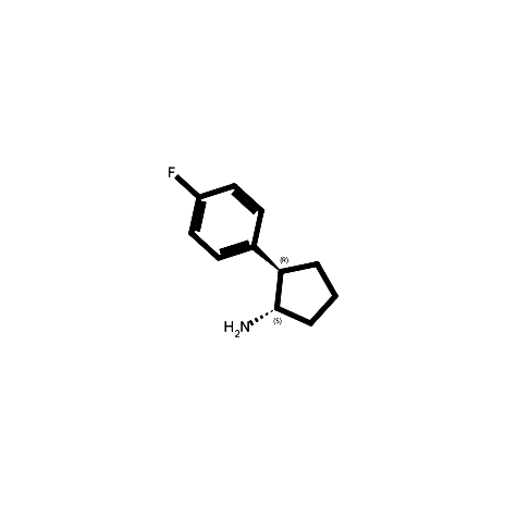 N[C@H]1CCC[C@@H]1c1ccc(F)cc1